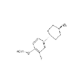 CCCCCCCCOc1ccc([C@H]2CC[C@H](CCCC)CC2)cc1F